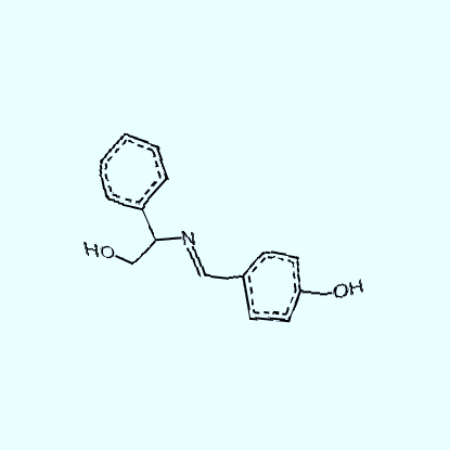 OCC(N=Cc1ccc(O)cc1)c1ccccc1